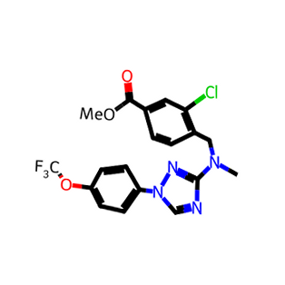 COC(=O)c1ccc(CN(C)c2ncn(-c3ccc(OC(F)(F)F)cc3)n2)c(Cl)c1